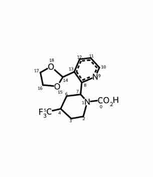 O=C(O)N1CCC(C(F)(F)F)CC1c1ncccc1C1OCCO1